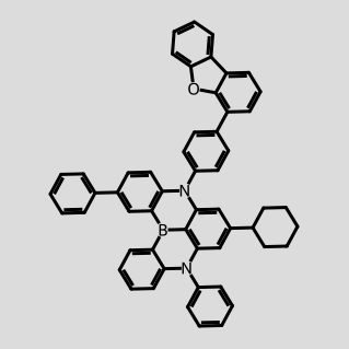 c1ccc(-c2ccc3c(c2)B2c4ccccc4N(c4ccccc4)c4cc(C5CCCCC5)cc(c42)N3c2ccc(-c3cccc4c3oc3ccccc34)cc2)cc1